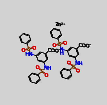 O=C([O-])c1cc(NS(=O)(=O)c2ccccc2)cc(NS(=O)(=O)c2ccccc2)c1.O=C([O-])c1cc(NS(=O)(=O)c2ccccc2)cc(NS(=O)(=O)c2ccccc2)c1.[Zn+2]